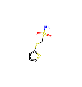 NS(=O)(=O)CSc1cccs1